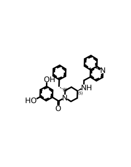 O=C(c1cc(O)cc(O)c1)N1CC[C@H](NCc2ccnc3ccccc23)C[C@H]1Cc1ccccc1